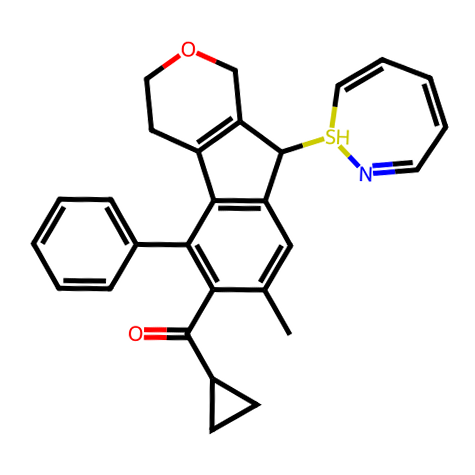 Cc1cc2c(c(-c3ccccc3)c1C(=O)C1CC1)C1=C(COCC1)C2[SH]1C=CC=CC=N1